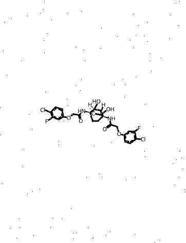 O=C(COc1ccc(Cl)c(F)c1)N[C@@]12CC[C@@](NC(=O)COc3ccc(Cl)c(F)c3)(C[C@@H]1O)[C@@H](O)C2